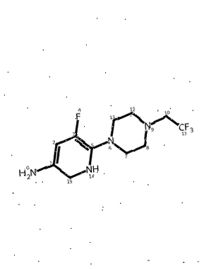 NC1=CC(F)=C(N2CCN(CC(F)(F)F)CC2)NC1